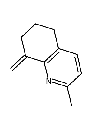 C=C1CCCc2ccc(C)nc21